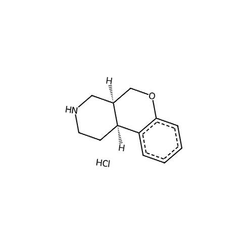 Cl.c1ccc2c(c1)OC[C@@H]1CNCC[C@H]21